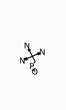 N#CC(C#N)(C#N)CP=O